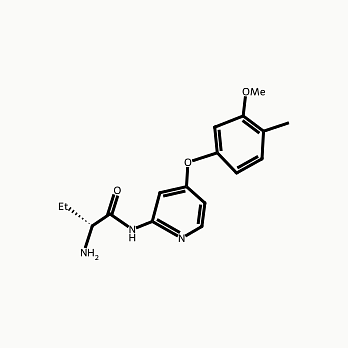 CC[C@@H](N)C(=O)Nc1cc(Oc2ccc(C)c(OC)c2)ccn1